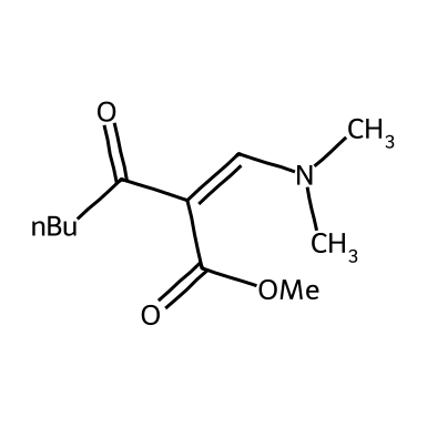 CCCCC(=O)C(=CN(C)C)C(=O)OC